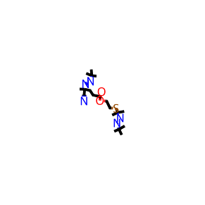 CC(C)(C)N=NC(C)(C#N)CCC(=O)OCCSC(C)(C)N=NC(C)(C)C